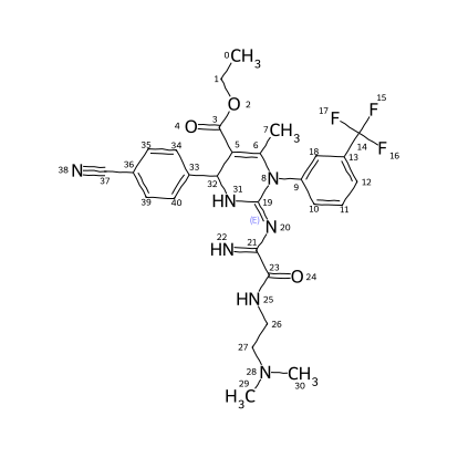 CCOC(=O)C1=C(C)N(c2cccc(C(F)(F)F)c2)/C(=N/C(=N)C(=O)NCCN(C)C)NC1c1ccc(C#N)cc1